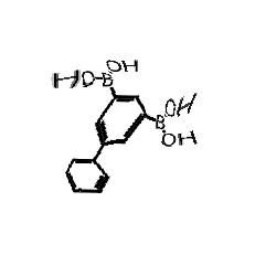 OB(O)c1cc(B(O)O)cc(-c2ccccc2)c1